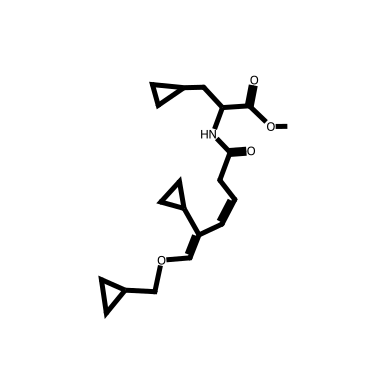 COC(=O)C(CC1CC1)NC(=O)C/C=C\C(=C\OCC1CC1)C1CC1